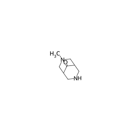 CN1CC2CNCC(C1)C2=O